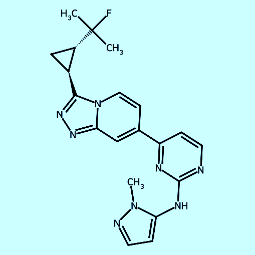 Cn1nccc1Nc1nccc(-c2ccn3c([C@H]4C[C@@H]4C(C)(C)F)nnc3c2)n1